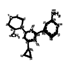 C[C@@H]1COCCN1c1cc([C]2CC2)nc(-c2ccnc(N)c2)n1